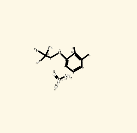 Cc1cccc(OCC(F)(F)F)c1C.N[SH](=O)=O